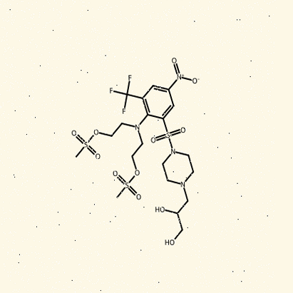 CS(=O)(=O)OCCN(CCOS(C)(=O)=O)c1c(C(F)(F)F)cc([N+](=O)[O-])cc1S(=O)(=O)N1CCN(CC(O)CO)CC1